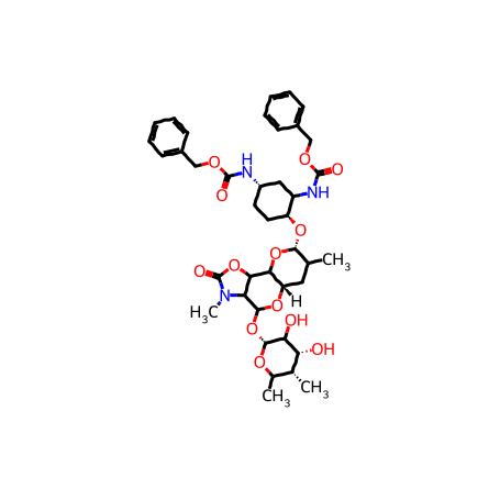 CC1C[C@@H]2OC(O[C@H]3OC(C)[C@@H](C)[C@@H](O)C3O)C3C(OC(=O)N3C)C2O[C@@H]1O[C@H]1CC[C@H](NC(=O)OCc2ccccc2)CC1NC(=O)OCc1ccccc1